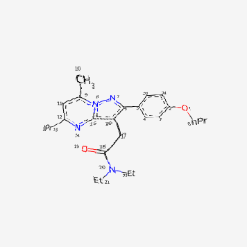 CCCOc1ccc(-c2nn3c(C)cc(C(C)C)nc3c2CC(=O)N(CC)CC)cc1